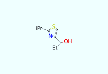 CCC(O)c1csc(C(C)C)n1